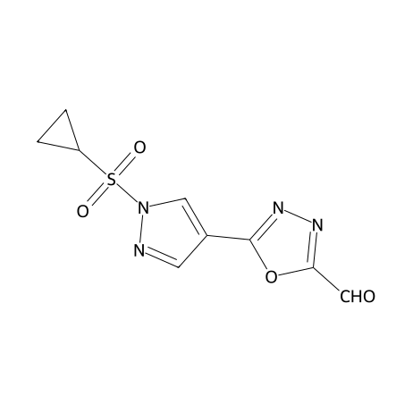 O=Cc1nnc(-c2cnn(S(=O)(=O)C3CC3)c2)o1